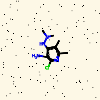 Cc1nc(Cl)c(N)c(NN(C)C)c1C